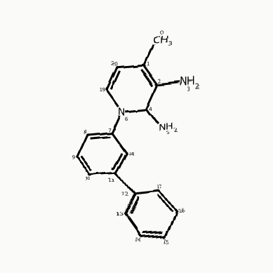 CC1=C(N)C(N)N(c2cccc(-c3ccccc3)c2)C=C1